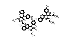 CCOC(=O)C1=C(N)Oc2cc(O)ccc2C1c1cnc2ccccc2c1.CCOC(=O)C1=C(NC(C)=O)Oc2cc(O)ccc2C1c1cccnc1.CCOC(=O)C1=C(NC(C)=O)Oc2cc(O)ccc2C1c1cnc2ccccc2c1